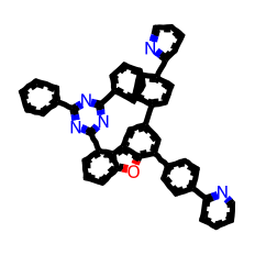 c1ccc(-c2nc(-c3ccccc3)nc(-c3cccc4oc5c(-c6ccc(-c7ccccn7)cc6)cc(-c6ccc(-c7ccccn7)cc6)cc5c34)n2)cc1